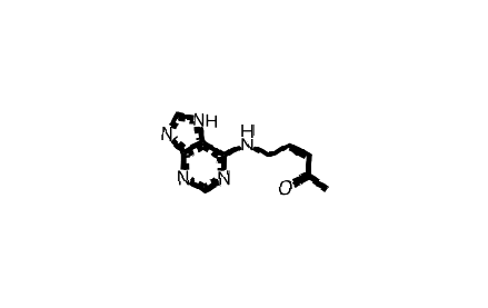 CC(=O)/C=C\CNc1ncnc2nc[nH]c12